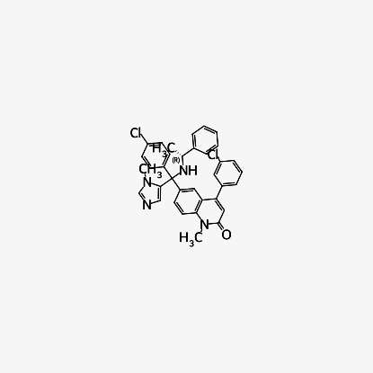 C[C@@H](NC(c1ccc(Cl)cc1)(c1ccc2c(c1)c(-c1cccc(Cl)c1)cc(=O)n2C)c1cncn1C)c1ccccc1